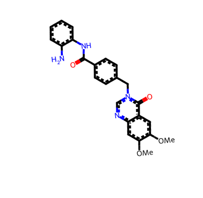 COc1cc2ncn(Cc3ccc(C(=O)Nc4ccccc4N)cc3)c(=O)c2cc1OC